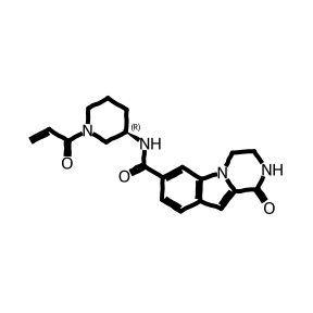 C=CC(=O)N1CCC[C@@H](NC(=O)c2ccc3cc4n(c3c2)CCNC4=O)C1